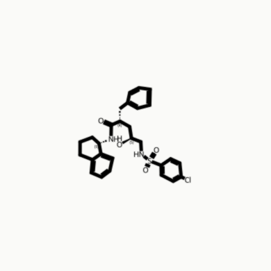 O=C(N[C@H]1CCCc2ccccc21)[C@H](Cc1ccccc1)C[C@H](O)CNS(=O)(=O)c1ccc(Cl)cc1